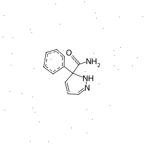 NC(=O)C1(c2ccccc2)C=CC=NN1